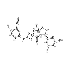 N#Cc1cc(OC2CC3(C2)O[C@@H]2CC[C@@H](c4cc(F)cc(F)c4)N2C3=O)ncc1F